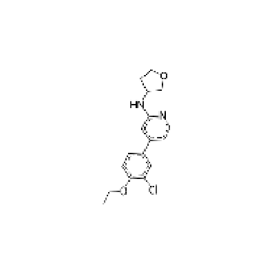 CCOc1ccc(-c2ccnc(NC3CCOC3)c2)cc1Cl